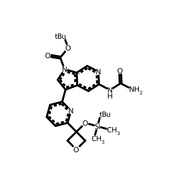 CC(C)(C)OC(=O)n1cc(-c2cccc(C3(O[Si](C)(C)C(C)(C)C)COC3)n2)c2cc(NC(N)=O)ncc21